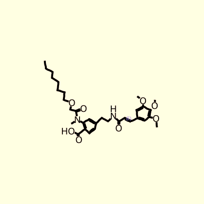 CCCCCCCCOCC(=O)N(C)c1cc(CCNC(=O)/C=C/c2cc(OC)c(OC)c(OC)c2)ccc1C(=O)O